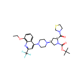 CCOc1cccc2c(N3CCN([C@H]4C[C@@H](C(=O)N5CCSC5)N(C(=O)OC(C)(C)C)C4)CC3)cc(C(F)(F)F)nc12